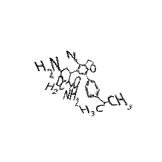 C=C(C(N)=O)C(CC(N)=O)c1cc(-c2ccc(C(C)C)cc2)c2c(c1C#N)CCO2